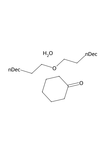 CCCCCCCCCCCCOCCCCCCCCCCCC.O.O=C1CCCCC1